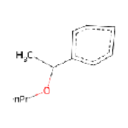 CC[CH]OC(C)c1ccccc1